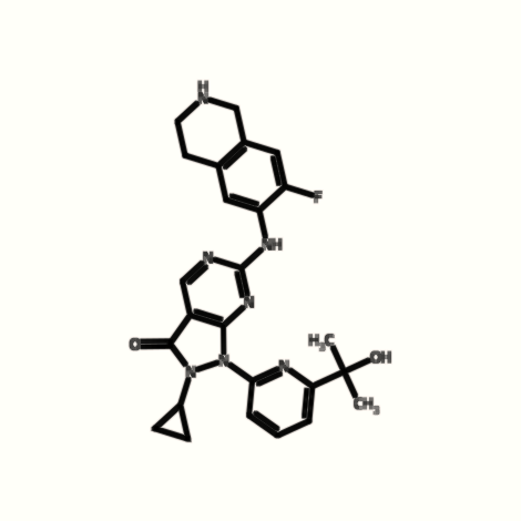 CC(C)(O)c1cccc(-n2c3nc(Nc4cc5c(cc4F)CNCC5)ncc3c(=O)n2C2CC2)n1